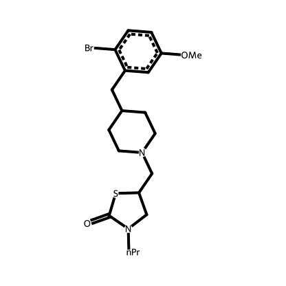 CCCN1CC(CN2CCC(Cc3cc(OC)ccc3Br)CC2)SC1=O